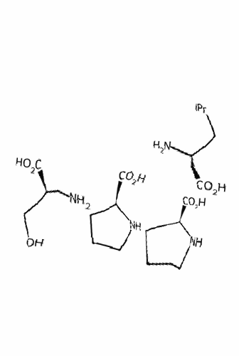 CC(C)C[C@H](N)C(=O)O.N[C@@H](CO)C(=O)O.O=C(O)[C@@H]1CCCN1.O=C(O)[C@@H]1CCCN1